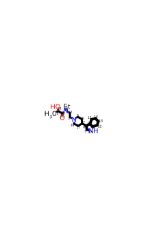 CCN(CCN1CCC(c2c[nH]c3ccccc23)CC1)C(=O)C(C)O